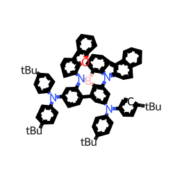 CC(C)(C)c1ccc(N(c2ccc(C(C)(C)C)cc2)c2ccc3c(c2)N(c2cccc4c2oc2ccccc24)B2c4c-3cc(N(c3ccc(C(C)(C)C)cc3)c3ccc(C(C)(C)C)cc3)cc4-n3c4ccc5ccccc5c4c4cccc2c43)cc1